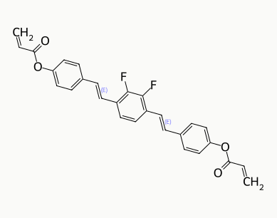 C=CC(=O)Oc1ccc(/C=C/c2ccc(/C=C/c3ccc(OC(=O)C=C)cc3)c(F)c2F)cc1